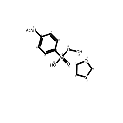 C1CSCO1.CC(=O)Nc1ccc([As](=O)(O)OO)cc1